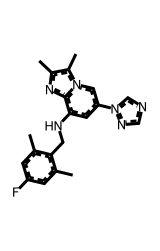 Cc1cc(F)cc(C)c1CNc1cc(-n2cncn2)cn2c(C)c(C)nc12